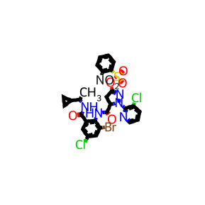 CC(NC(=O)c1cc(Cl)cc(Br)c1NC(=O)C1CC(OS(=O)(=O)c2ccccc2[N+](=O)[O-])=NN1c1ncccc1Cl)C1CC1